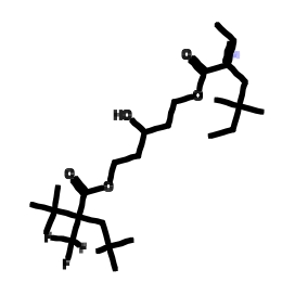 C/C=C(/CC(C)(C)CC)C(=O)OCCC(O)CCOC(=O)C(CC(C)(C)C)(C(C)(C)C)C(F)(F)F